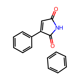 O=C1C=C(c2ccccc2)C(=O)N1.c1ccccc1